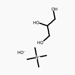 C[N+](C)(C)C.OCC(O)CO.[OH-]